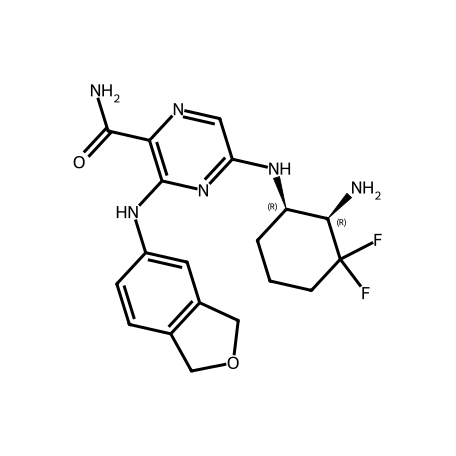 NC(=O)c1ncc(N[C@@H]2CCCC(F)(F)[C@@H]2N)nc1Nc1ccc2c(c1)COC2